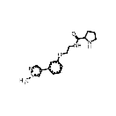 Cn1cc(-c2c[c]cc(OCCNC(=O)C3CCCN3)c2)cn1